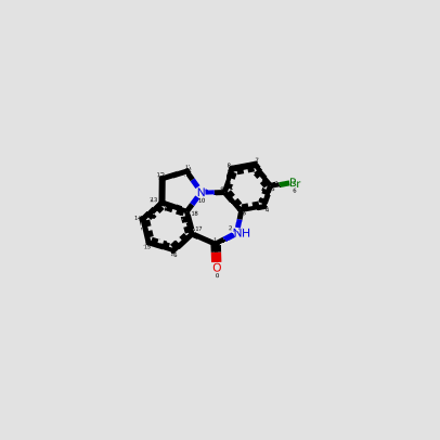 O=C1Nc2cc(Br)ccc2N2CCc3cccc1c32